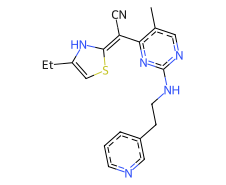 CCC1=CS/C(=C(/C#N)c2nc(NCCc3cccnc3)ncc2C)N1